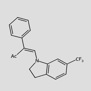 CC(=O)/C(=C\N1CCc2ccc(C(F)(F)F)cc21)c1ccccc1